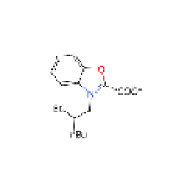 CCCCC(CC)C[n+]1c(C(=O)[O-])oc2ccccc21